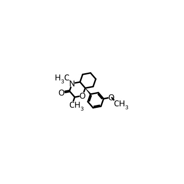 COc1cccc([C@]23CCCCC2N(C)C(=O)C(C)O3)c1